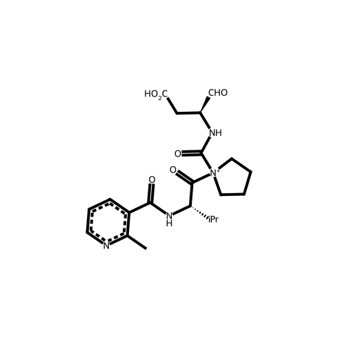 Cc1ncccc1C(=O)N[C@H](C(=O)[N+]1(C(=O)N[C@H](C=O)CC(=O)O)CCCC1)C(C)C